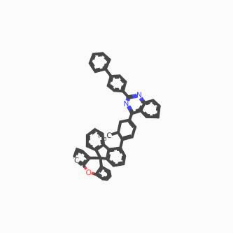 CC1CC(c2nc(-c3ccc(-c4ccccc4)cc3)nc3ccccc23)=CC=C1c1cccc2c1-c1ccccc1C21c2ccccc2Oc2ccccc21